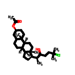 CC(=O)O[C@H]1CC[C@@]2(C)C(CC[C@H]3[C@@H]4CC[C@H]([C@H](C)C(O)CCC(C)(C)Cl)[C@@]4(C)CC[C@@H]32)C1